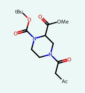 COC(=O)C1CN(C(=O)CC(C)=O)CCN1C(=O)OC(C)(C)C